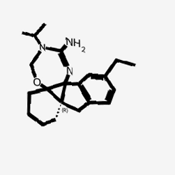 CCc1ccc2c(c1)C13N=C(N)N(C(C)C)COC14CCCC[C@]43C2